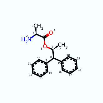 C[C@H](N)C(=O)O[C@@H](C)C(c1ccccc1)c1ccccc1